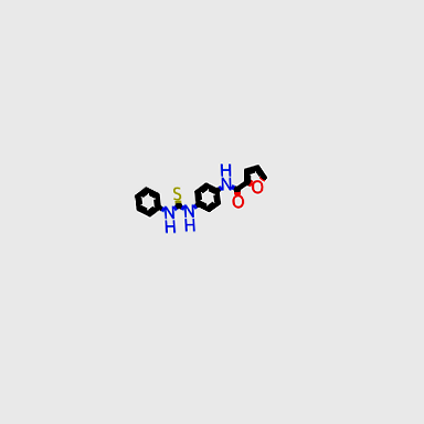 O=C(Nc1ccc(NC(=S)Nc2ccccc2)cc1)c1ccco1